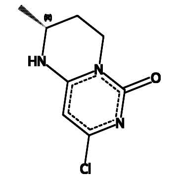 C[C@@H]1CCn2c(cc(Cl)nc2=O)N1